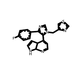 Fc1ccc(-c2ncn(Cc3cscn3)c2C2=CC=NC3NC=CC23)cc1